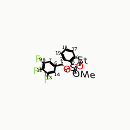 CCO[Si](OC)(OCc1cc(F)c(F)c(F)c1)c1ccccc1